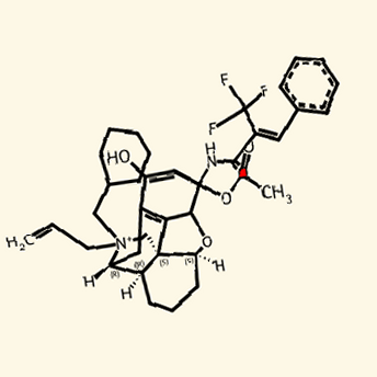 C=CC[N+]1(CC2CCCCC2)CC[C@@]23C4=C5C[C@@H]1[C@@H]2CCC[C@@H]3OC4C(NC(=O)C(=Cc1ccccc1)C(F)(F)F)(OC(C)=O)C=C5O